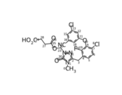 Cn1c(Cc2ccc(Cl)c(Oc3cc(Cl)cc(C#N)c3)c2F)nn(COC(=O)CCC(=O)O)c1=O